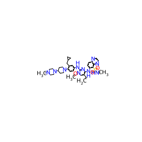 C=Cc1cnc(Nc2cc(CC3CC3)c(N3CCC(N4CCN(C)CC4)CC3)cc2OC)nc1Nc1ccc2nccnc2c1S(=O)(=O)NC